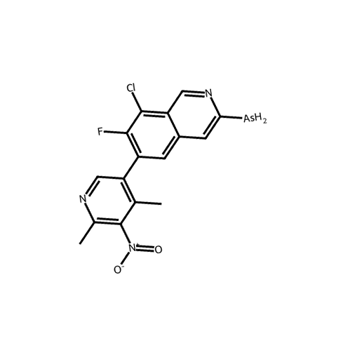 Cc1ncc(-c2cc3cc([AsH2])ncc3c(Cl)c2F)c(C)c1[N+](=O)[O-]